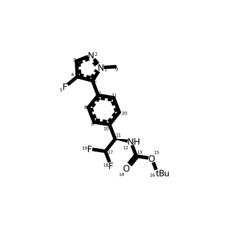 Cn1ncc(F)c1-c1ccc([C@@H](NC(=O)OC(C)(C)C)C(F)F)cc1